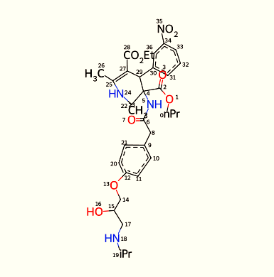 CCCOC(=O)C1(NC(=O)Cc2ccc(OCC(O)CNC(C)C)cc2)C(C)NC(C)=C(C(=O)OCC)C1c1cccc([N+](=O)[O-])c1